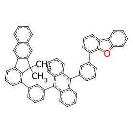 CC1(C)c2cc3ccccc3cc2-c2cccc(-c3cccc(-c4c5ccccc5c(-c5cccc(-c6cccc7c6oc6ccccc67)c5)c5ccccc45)c3)c21